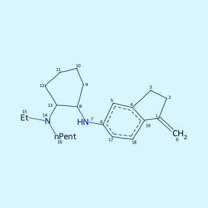 C=C1CCc2cc(NC3CCCCC3N(CC)CCCCC)ccc21